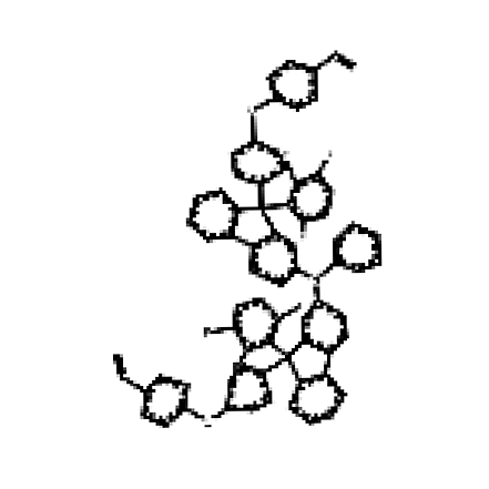 C=Cc1ccc(Oc2ccc(C3(c4c(F)ccc(F)c4F)c4ccccc4-c4ccc(N(c5ccccc5)c5ccc6c(c5)C(c5ccc(Oc7ccc(C=C)cc7)cc5)(c5c(F)ccc(F)c5F)c5ccccc5-6)cc43)cc2)cc1